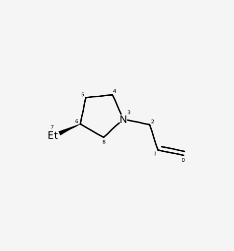 C=CCN1CC[C@H](CC)C1